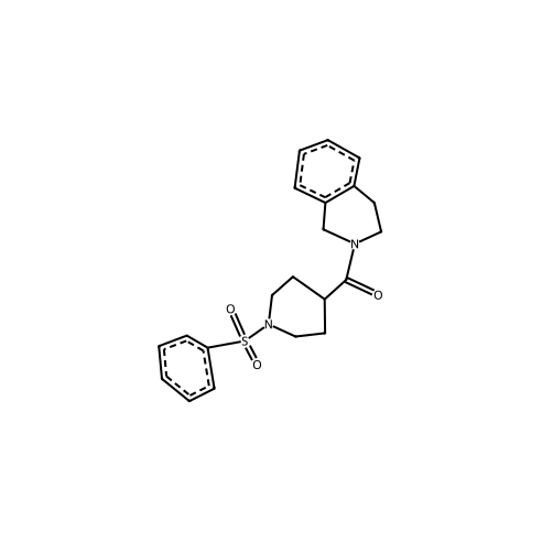 O=C(C1CCN(S(=O)(=O)c2ccccc2)CC1)N1CCc2ccccc2C1